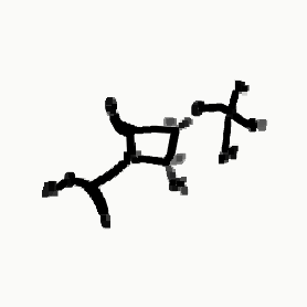 CC(C)OC(=O)N1C(=O)[C@H](O[Si](C(C)C)(C(C)C)C(C)C)[C@@H]1C(F)(F)F